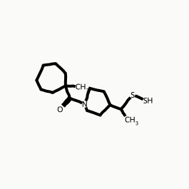 CC(SS)C1CCN(C(=O)C2(C)CCCCCC2)CC1